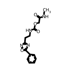 CNC(=O)COC(=O)NCCc1noc(-c2ccccc2)n1